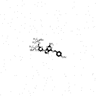 CC(=O)Oc1ccc(CSc2nc(N)nc3c2ncn3[C@H]2C[C@H](O[Si](C)(C)C(C)(C)C)[C@@H](CO[Si](C)(C)C(C)(C)C)O2)cc1